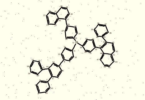 c1ccc(-c2ccc(-c3ccc(N(c4ccc(-c5cccc6ccccc56)cc4)c4ccc(-c5c(-c6ccccc6)ccc6ccccc56)cc4)cc3)cc2-c2ccccc2)cc1